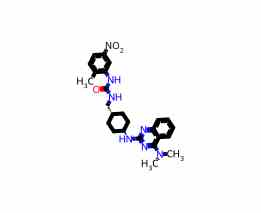 Cc1ccc([N+](=O)[O-])cc1NC(=O)NC[C@H]1CC[C@@H](Nc2nc(N(C)C)c3ccccc3n2)CC1